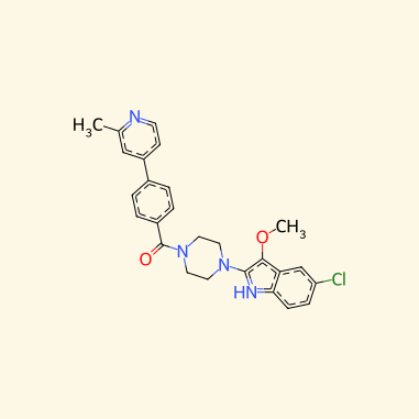 COc1c(N2CCN(C(=O)c3ccc(-c4ccnc(C)c4)cc3)CC2)[nH]c2ccc(Cl)cc12